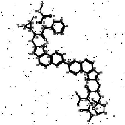 COC(=O)N[C@H](C(=O)N(Cc1nc2ccc3cc(-c4ccc5c(ccc6nc(CN(C(=O)[C@H](NC(=O)OC)c7ccccc7)[C@H]7[C@H](C)[C@@H]7C)[nH]c65)c4)ccc3c2[nH]1)CC1(C)OCCO1)C(C)C